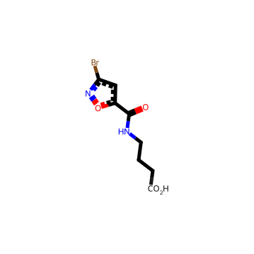 O=C(O)CCCNC(=O)c1cc(Br)no1